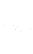 COC(=O)Oc1ccc(NC(=O)C(C)(C)C)c(C)c1Cl